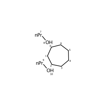 C1CCCCCC1.CCCO.CCCO